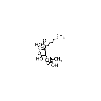 CCCCCCC(C(=O)O)=C(C=C(C(=O)O)C(C)C=C(C)C(=O)O)CC